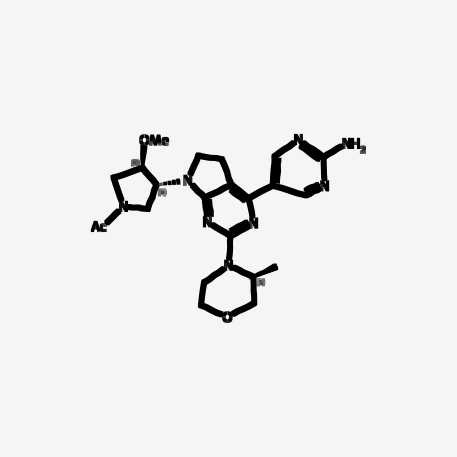 CO[C@@H]1CN(C(C)=O)C[C@H]1N1CCc2c(-c3cnc(N)nc3)nc(N3CCOC[C@@H]3C)nc21